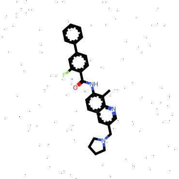 Cc1c(NC(=O)c2ccc(-c3ccccc3)cc2F)ccc2cc(CN3CCCC3)cnc12